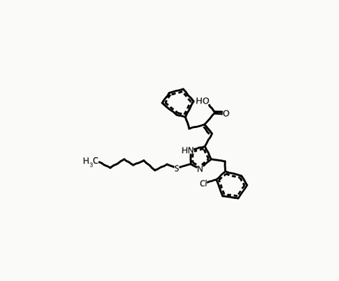 CCCCCCCSc1nc(Cc2ccccc2Cl)c(/C=C(\Cc2ccccc2)C(=O)O)[nH]1